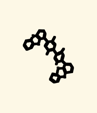 Cc1cc(-c2cccc3c2Sc2ccccc2S3)c(C)cc1-c1cc(C)c(-c2cccc3c2Sc2ccccc2S3)cc1C